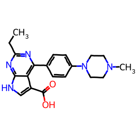 CCc1nc(-c2ccc(N3CCN(C)CC3)cc2)c2c(C(=O)O)c[nH]c2n1